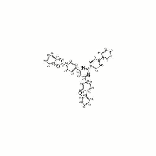 c1ccc(-c2ccc(-c3nc(-c4ccc(-c5nc6ccccc6o5)cc4)cc(-c4ccc5c(c4)oc4ccccc45)n3)cc2)cc1